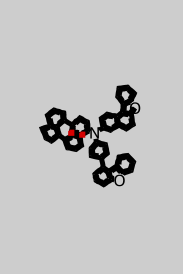 c1ccc(-c2cccc3cccc(-c4ccc(N(c5ccc(-c6cccc7oc8ccccc8c67)cc5)c5ccc6c(ccc7oc8ccccc8c76)c5)cc4)c23)cc1